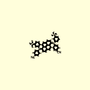 C[Si](C)(C)c1cccc(N(c2ccc(C#N)cc2)c2ccc3ccc4c(N(c5ccc(C#N)cc5)c5cccc([Si](C)(C)C)c5)ccc5ccc2c3c54)c1